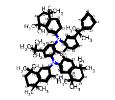 Cc1cc2c(cc1N1c3cc4c(cc3B3c5ccc(C(C)(C)c6ccccc6)cc5N(c5ccc6c(c5)C(C)(C)CCC6(C)C)c5cc(C(C)(C)C)cc1c53)C(C)(C)CCC4(C)C)C(C)(C)CCC2(C)C